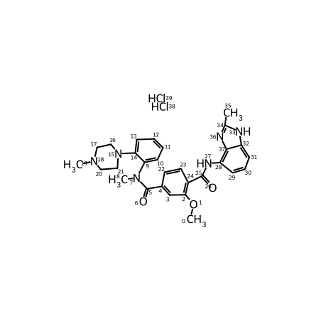 COc1cc(C(=O)N(C)c2ccccc2N2CCN(C)CC2)ccc1C(=O)Nc1cccc2[nH]c(C)nc12.Cl.Cl